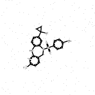 [C-]#[N+]C1(c2ccc3c(c2)N(S(=O)(=O)c2ccc(C(C)(C)C)cc2)Cc2ccc(C(F)(F)F)nc2N3)CC1